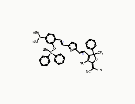 CCCCN(CCCC)c1ccc(/C=C/c2ccc(/C=C/C3=C(C#N)C(=C(C#N)C#N)OC3(c3ccccc3)C(F)(F)F)s2)c(O[Si](c2ccccc2)(c2ccccc2)C(C)(C)C)c1